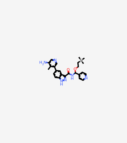 Cc1c(N)cncc1-c1ccc2[nH]nc(C(=O)NC(OCC[Si](C)(C)C)c3ccncc3)c2c1